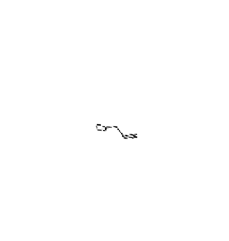 C=C[CH2][Co]